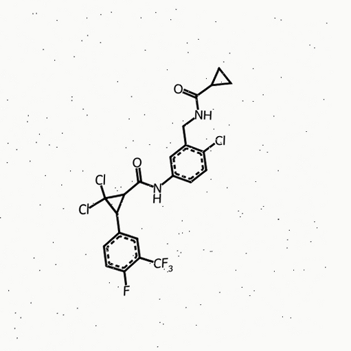 O=C(NCc1cc(NC(=O)C2C(c3ccc(F)c(C(F)(F)F)c3)C2(Cl)Cl)ccc1Cl)C1CC1